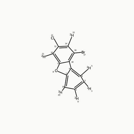 [2H]c1c([2H])c([2H])c2c(oc3c([2H])c(Cl)c([2H])c(Br)c32)c1[2H]